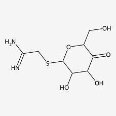 N=C(N)CSC1OC(CO)C(=O)C(O)C1O